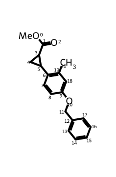 COC(=O)C1CC1c1ccc(OCc2ccccc2)cc1C